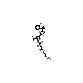 CCCCOC(=O)CNC(=O)Cn1nc(-c2nc(C3(c4ccccc4C)CC3)no2)cc1C(F)F